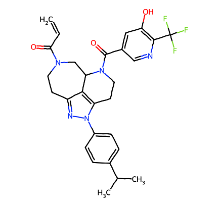 C=CC(=O)N1CCc2nn(-c3ccc(C(C)C)cc3)c3c2C(C1)N(C(=O)c1cnc(C(F)(F)F)c(O)c1)CC3